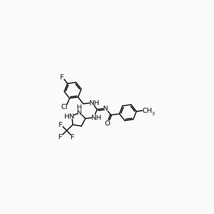 Cc1ccc(C(=O)/N=C(/NCc2ccc(F)cc2Cl)NC2CC(C(F)(F)F)NN2)cc1